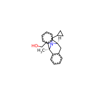 C[C@]12c3ccccc3C[C@H](c3ccccc31)[N@@+]2(CCO)CC1CC1